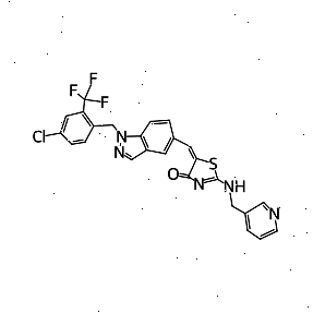 O=C1N=C(NCc2cccnc2)SC1=Cc1ccc2c(cnn2Cc2ccc(Cl)cc2C(F)(F)F)c1